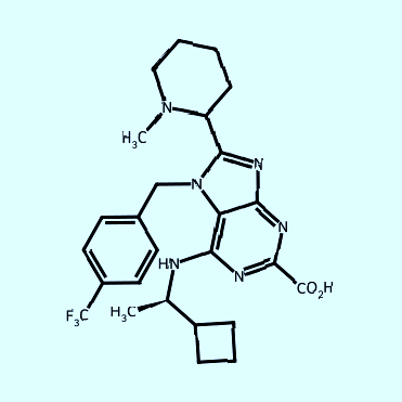 C[C@@H](Nc1nc(C(=O)O)nc2nc(C3CCCCN3C)n(Cc3ccc(C(F)(F)F)cc3)c12)C1CCC1